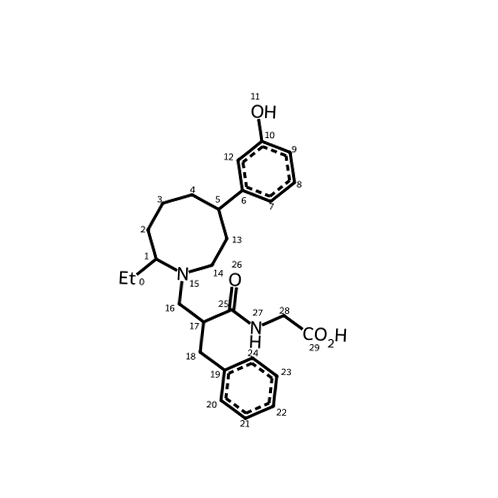 CCC1CCCC(c2cccc(O)c2)CCN1CC(Cc1ccccc1)C(=O)NCC(=O)O